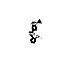 Cc1ccccc1C1=NCC(c2ccc3c(c2)nnn3C2CC2)=N1